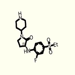 CCS(=O)(=O)c1ccc(N[C@H]2CCN(C3CCNCC3)C2=O)c(F)c1